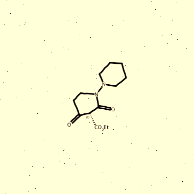 CCOC(=O)[C@@H]1C(=O)CCN(N2CCCCC2)C1=O